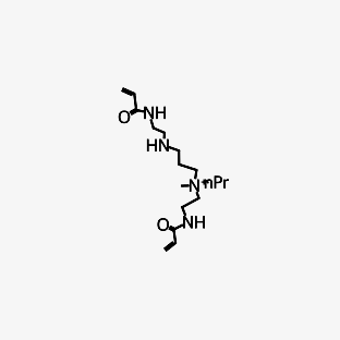 C=CC(=O)NCCNCCC[N+](C)(CCC)CCNC(=O)C=C